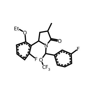 CCOc1cccc(F)c1C1CC(C)C(=O)N1C(OC(F)(F)F)c1cccc(F)c1